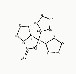 O=COC(C1CCCC1)(C1CCCC1)C1CCCC1